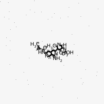 Cc1ncc(NC(=O)O)c(C)c1-c1cc2cc(NC(=O)[C@@H]3C[C@H]3C)ncc2c(N)n1